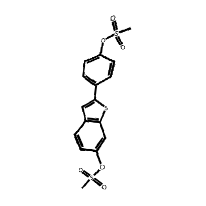 CS(=O)(=O)Oc1ccc(-c2cc3ccc(OS(C)(=O)=O)cc3s2)cc1